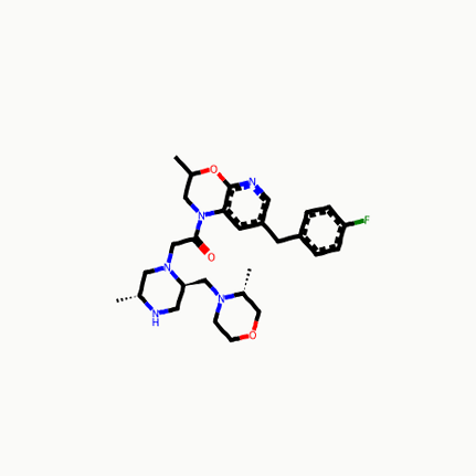 CC1CN(C(=O)CN2C[C@@H](C)NC[C@@H]2CN2CCOC[C@H]2C)c2cc(Cc3ccc(F)cc3)cnc2O1